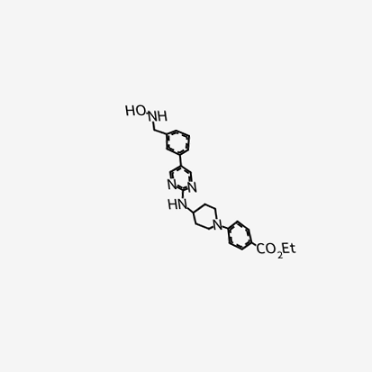 CCOC(=O)c1ccc(N2CCC(Nc3ncc(-c4cccc(CNO)c4)cn3)CC2)cc1